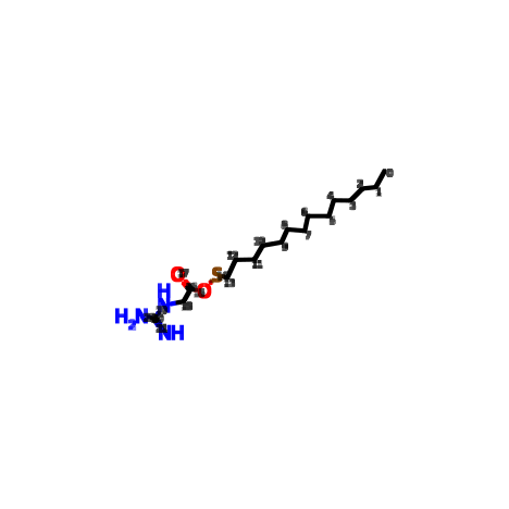 CCCCCCCCCCCCCCSOC(=O)CNC(=N)N